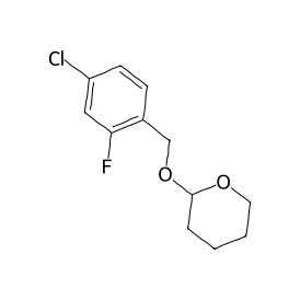 Fc1cc(Cl)ccc1COC1CCCCO1